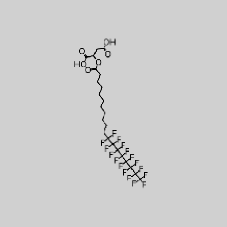 O=C(O)CC(OC(=O)CCCCCCCCCCC(F)(F)C(F)(F)C(F)(F)C(F)(F)C(F)(F)C(F)(F)C(F)(F)C(F)(F)F)C(=O)O